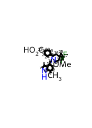 COc1cc(C)c2[nH]ccc2c1CN1CCC2(CC1c1ccc(C(=O)O)cc1)CC2(F)F